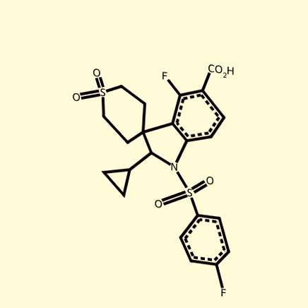 O=C(O)c1ccc2c(c1F)C1(CCS(=O)(=O)CC1)C(C1CC1)N2S(=O)(=O)c1ccc(F)cc1